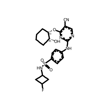 N#Cc1cnc(Nc2ccc(S(=O)(=O)NC3CC(F)C3)cc2)nc1O[C@H]1CCCC[C@H]1O